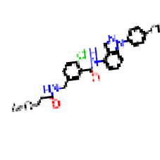 COCCC(=O)NCc1ccc(Cl)c(C(=O)Nc2cccc3c2cnn3-c2ccc(C(F)(F)F)cc2)c1